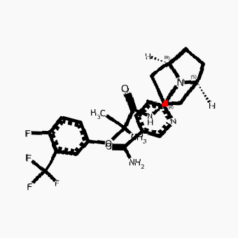 CC(C)(Oc1ccc(F)c(C(F)(F)F)c1)C(=O)N[C@H]1C[C@H]2CC[C@@H](C1)N2c1ccc(C(N)=O)cn1